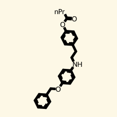 CCCC(=O)Oc1ccc(CCNc2ccc(OCc3ccccc3)cc2)cc1